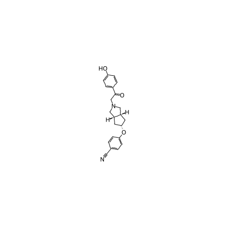 N#Cc1ccc(O[C@@H]2C[C@@H]3CN(CC(=O)c4ccc(O)cc4)C[C@@H]3C2)cc1